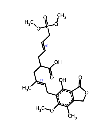 COc1c(C)c2c(c(O)c1C/C=C(\C)CC(C/C=C/CP(=O)(OC)OC)C(=O)O)C(=O)OC2